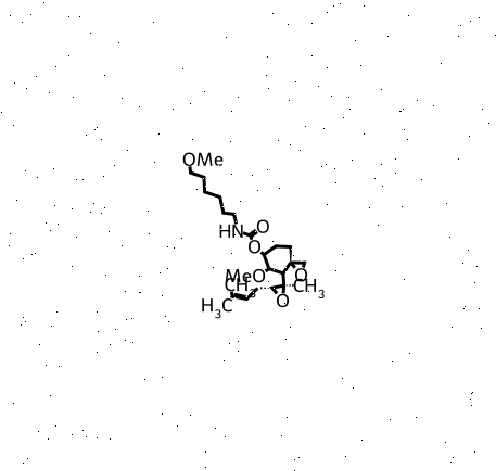 COCCCCCCNC(=O)OC1CC[C@]2(CO2)C([C@@]2(C)O[C@@H]2CC=C(C)C)C1OC